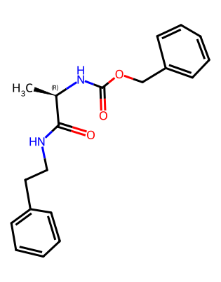 C[C@@H](NC(=O)OCc1ccccc1)C(=O)NCCc1ccccc1